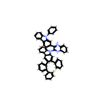 c1ccc(-n2c3ccccc3c3ccc(-c4nc5ccccc5nc4-n4c5ccccc5c5cc6c(cc54)c4ccccc4sc4ccccc4c4ccccc46)cc32)cc1